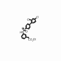 CCOC(=O)Cc1cccc(NS(=O)(=O)c2ccc(-c3ccc(Cl)cc3Cl)cc2)c1